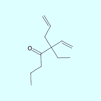 C=CCC(C=C)(CC)C(=O)CCC